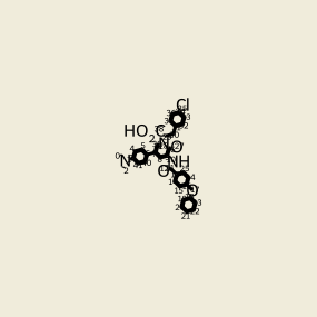 CN(C)c1ccc(-c2cc(NC(=O)c3ccc(Oc4ccccc4)cc3)c(=O)n(C(Cc3ccc(Cl)cc3)C(=O)O)c2)cc1